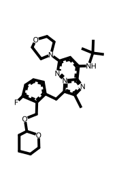 Cc1nc2c(NC(C)(C)C)cc(N3CCOCC3)nn2c1Cc1cccc(F)c1COC1CCCCO1